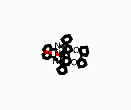 c1ccc(-c2nc(-c3ccccc3)nc(-c3cccc4c3-c3c(cccc3-c3nc(-c5ccccc5)nc(-c5ccccc5)n3)Oc3ccccc3-c3ccccc3O4)n2)cc1